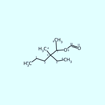 CCCC(C)(CC)C(C)O[C]=O